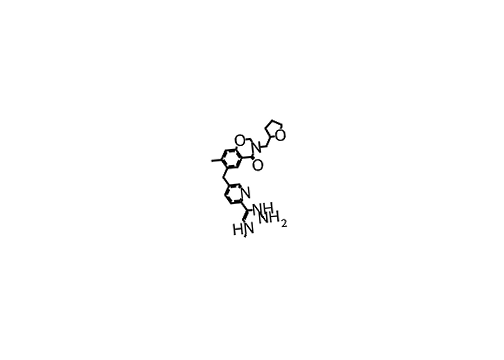 CN/C=C(\NN)c1ccc(Cc2cc3c(cc2C)OCN(CC2CCCO2)C3=O)cn1